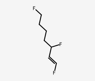 FC=CC(F)CCCCF